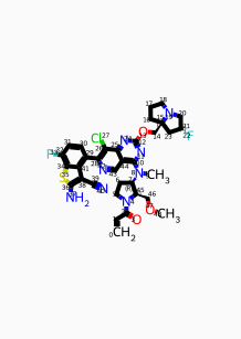 C=CC(=O)N1CC[C@@H](N(C)c2nc(OC[C@@]34CCCN3C[C@H](F)C4)nc3c(Cl)c(-c4ccc(F)c5sc(N)c(C#N)c45)ncc23)[C@H]1COC